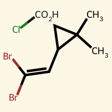 CC1(C)CC1C=C(Br)Br.O=C(O)Cl